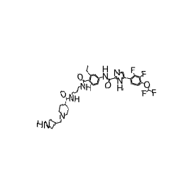 CCc1cc(NC(=O)c2ncc(-c3ccc(OC(F)F)c(F)c3F)[nH]2)ccc1C(=O)NCCCNC(=O)C1CCN(CC2CNC2)CC1